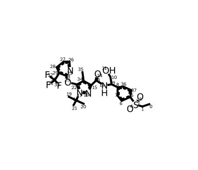 CCS(=O)(=O)c1ccc(C(CO)NC(=O)c2nn(C(C)(C)C)c(Oc3ncccc3C(F)(F)F)c2C)cc1